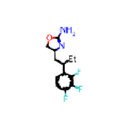 CCC(C[C@H]1COC(N)=N1)c1ccc(F)c(F)c1F